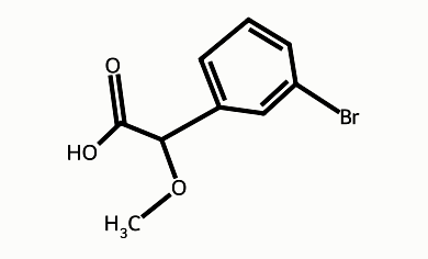 COC(C(=O)O)c1cccc(Br)c1